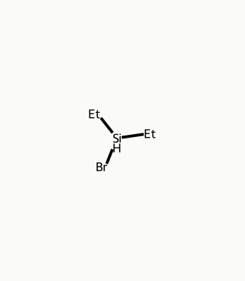 CC[SiH](Br)CC